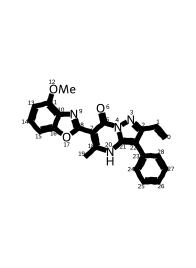 C=Cc1nn2c(=O)c(-c3nc4c(OC)cccc4o3)c(C)[nH]c2c1-c1ccccc1